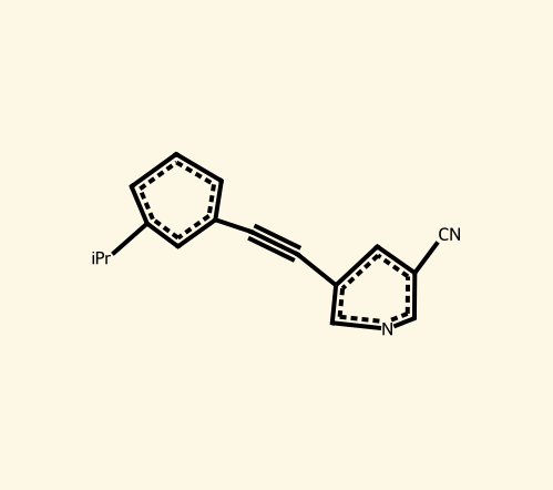 CC(C)c1cccc(C#Cc2cncc(C#N)c2)c1